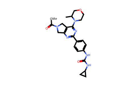 COC(=O)N1Cc2nc(-c3ccc(NC(=O)NC4CC4)cc3)nc(N3CCOCC3C)c2C1